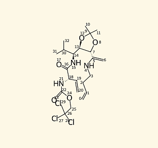 C=CCCNC(=C)[C@H]1OC(C)(C)O[C@@H]1[C@@H](NC(=O)[C@H](C=C)NC(=O)OCC(Cl)(Cl)Cl)C(C)C